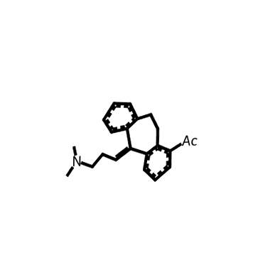 CC(=O)c1cccc2c1CCc1ccccc1C2=CCCN(C)C